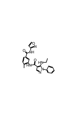 CCNc1c(C(=O)Nc2cc(C(=O)Nc3ccon3)ccc2C)cnn1-c1ccccc1